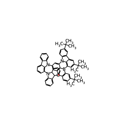 CC(C)(C)c1ccc2c(c1)B1c3c(cc(-n4c5ccccc5c5cccc(N6c7ccccc7C7C=CC=CC76)c54)cc3-n3c4ccc(C(C)(C)C)cc4c4cc(C(C)(C)C)cc1c43)O2